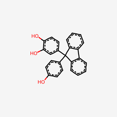 Oc1ccc(C2(c3ccc(O)c(O)c3)c3ccccc3-c3ccccc32)cc1